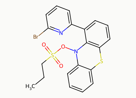 CCCS(=O)(=O)ON1c2ccccc2Sc2cccc(-c3cccc(Br)n3)c21